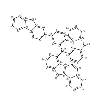 c1cc(-c2ccc3c(c2)sc2ccccc23)cc(N(c2cccc3oc4ccccc4c23)c2cccc3oc4c5ccccc5ccc4c23)c1